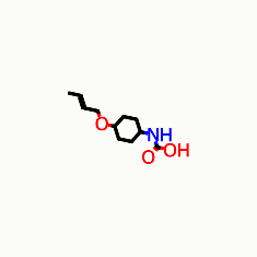 CC=CCOC1CCC(NC(=O)O)CC1